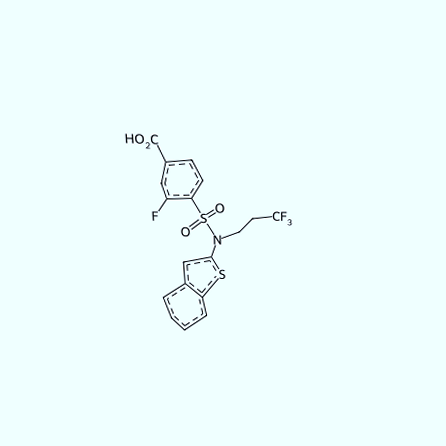 O=C(O)c1ccc(S(=O)(=O)N(CCC(F)(F)F)c2cc3ccccc3s2)c(F)c1